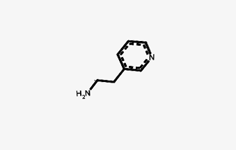 N[CH]Cc1cccnc1